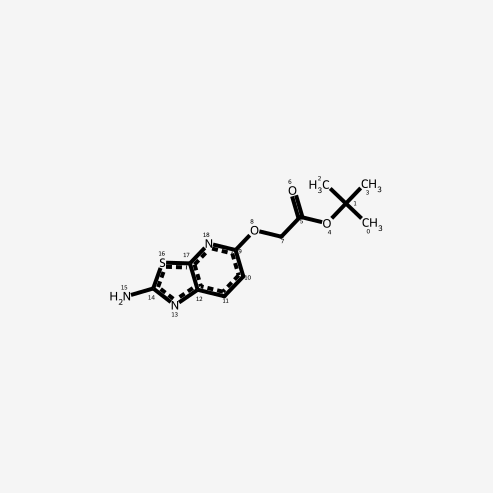 CC(C)(C)OC(=O)COc1ccc2nc(N)sc2n1